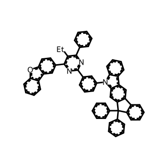 CCc1c(-c2ccccc2)nc(-c2cccc(-n3c4ccccc4c4cc5c(cc43)C(c3ccccc3)(c3ccccc3)c3ccccc3-5)c2)nc1-c1ccc2oc3ccccc3c2c1